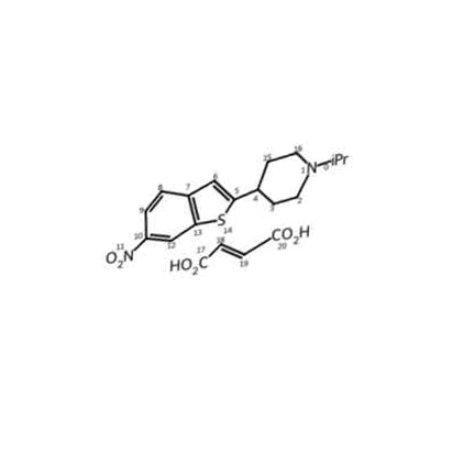 CC(C)N1CCC(c2cc3ccc([N+](=O)[O-])cc3s2)CC1.O=C(O)C=CC(=O)O